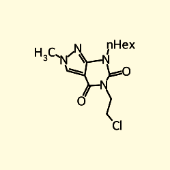 CCCCCCn1c(=O)n(CCCl)c(=O)c2cn(C)nc21